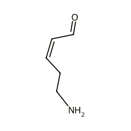 NCC/C=C\C=O